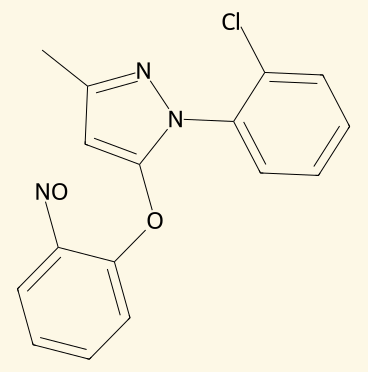 Cc1cc(Oc2ccccc2N=O)n(-c2ccccc2Cl)n1